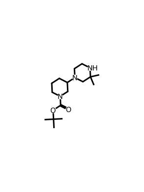 CC1(C)CN(C2CCCN(C(=O)OC(C)(C)C)C2)CCN1